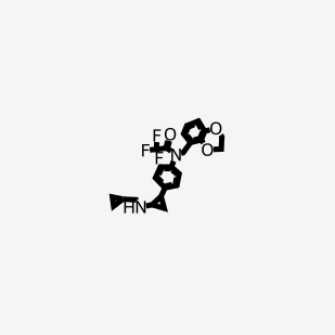 O=C(N(Cc1cccc2c1OCCO2)c1ccc(C2CC2NCC2CC2)cc1)C(F)(F)F